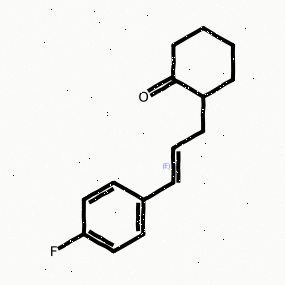 O=C1CCCCC1C/C=C/c1ccc(F)cc1